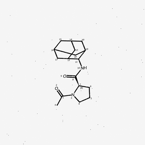 CC(=O)N1CCC[C@@H]1C(=O)NC1C2CC3CC(C2)CC1C3